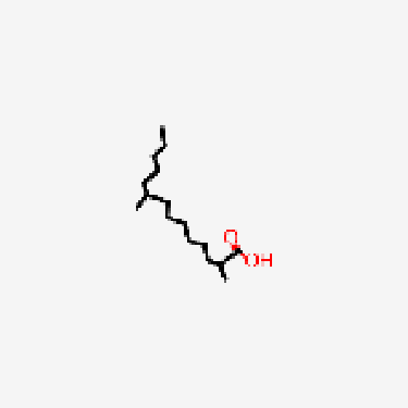 CCCCCC(C)CCCCCCC(C)C(=O)O